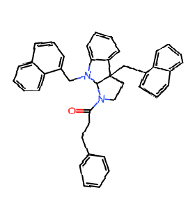 O=C(CCc1ccccc1)N1CCC2(Cc3cccc4ccccc34)c3ccccc3N(Cc3cccc4ccccc34)C12